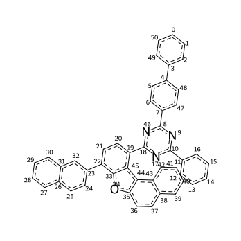 c1ccc(-c2ccc(-c3nc(-c4ccccc4)nc(-c4ccc(-c5ccc6ccccc6c5)c5oc6ccc7ccccc7c6c45)n3)cc2)cc1